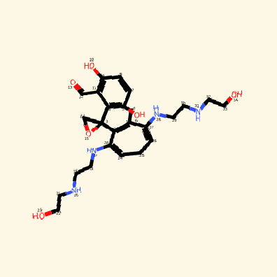 CC1=C(C2(c3c(O)ccc(O)c3C=O)CO2)C(NCCNCCO)=CCC=C1NCCNCCO